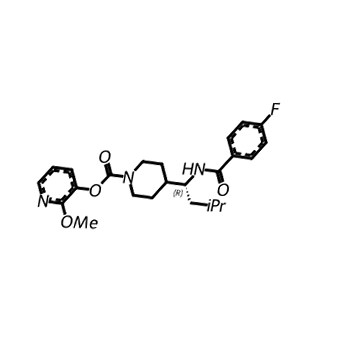 COc1ncccc1OC(=O)N1CCC([C@@H](CC(C)C)NC(=O)c2ccc(F)cc2)CC1